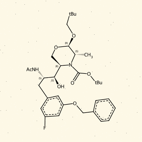 CC(=O)N[C@@H](Cc1cc(F)cc(OCc2ccccc2)c1)[C@H](O)[C@H]1CO[C@@H](OCC(C)(C)C)[C@H](C)N1C(=O)OC(C)(C)C